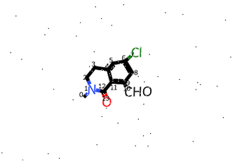 CN1CCc2cc(Cl)cc(C=O)c2C1=O